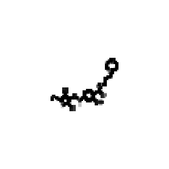 O=C(OCCCN1CCOCC1)c1ccc(NSc2c(Cl)sc(Cl)c2Cl)cc1O